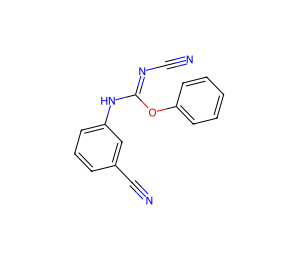 N#C/N=C(/Nc1cccc(C#N)c1)Oc1ccccc1